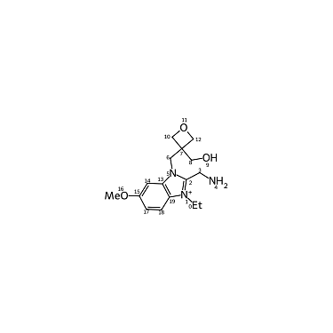 CC[n+]1c(CN)n(CC2(CO)COC2)c2cc(OC)ccc21